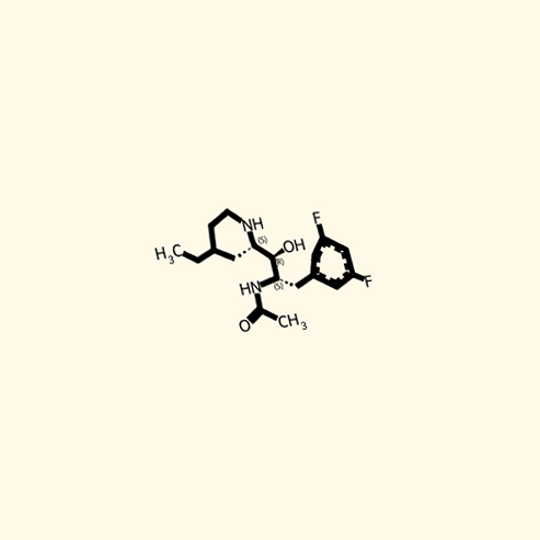 CCC1CCN[C@H]([C@@H](O)[C@H](Cc2cc(F)cc(F)c2)NC(C)=O)C1